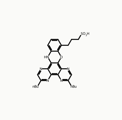 CCCCc1cnc2c3c(c4ncc(CCCC)nc4c2n1)Oc1c(CCCS(=O)(=O)O)cccc1N3